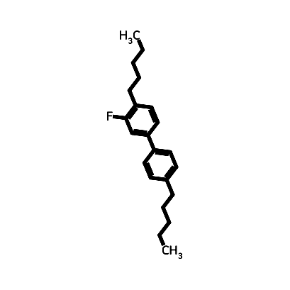 CCCCCc1ccc(-c2ccc(CCCCC)c(F)c2)cc1